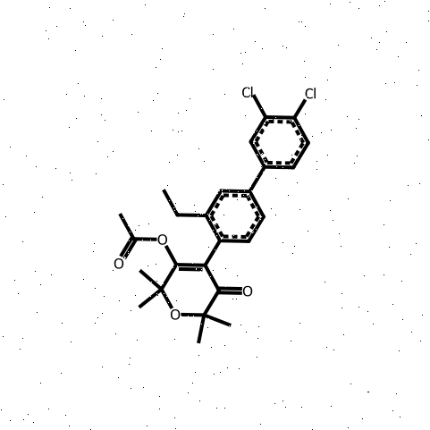 CCc1cc(-c2ccc(Cl)c(Cl)c2)ccc1C1=C(OC(C)=O)C(C)(C)OC(C)(C)C1=O